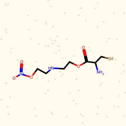 NC(CS)C(=O)OCCNCCO[N+](=O)[O-]